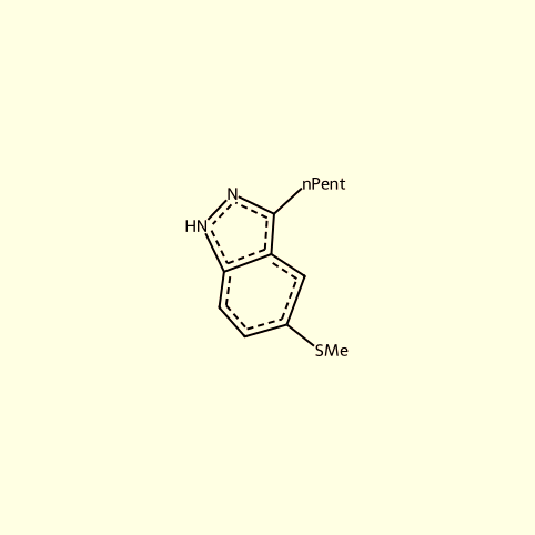 CCCCCc1n[nH]c2ccc(SC)cc12